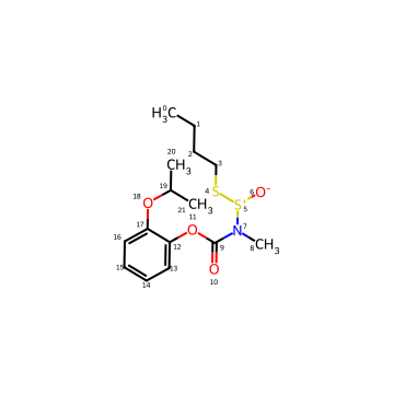 CCCCS[S+]([O-])N(C)C(=O)Oc1ccccc1OC(C)C